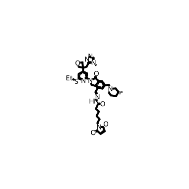 CCSc1cc(C2(Cc3nncn3C)COC2)cc(N2Cc3c(C=NNC(=O)CCCCCN4C(=O)C=CC4=O)cc(CN4CCC[C@H](C)C4)cc3C2=O)n1